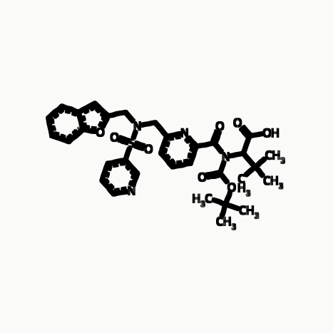 CC(C)(C)OC(=O)N(C(=O)c1cccc(CN(Cc2cc3ccccc3o2)S(=O)(=O)c2cccnc2)n1)C(C(=O)O)C(C)(C)C